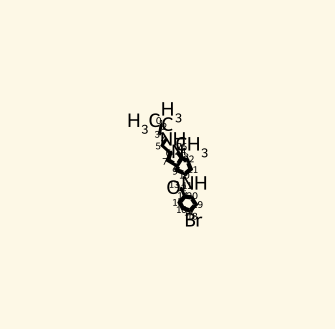 CC(C)CNCc1cc2cc(NC(=O)c3ccc(Br)cc3)ccc2n1C